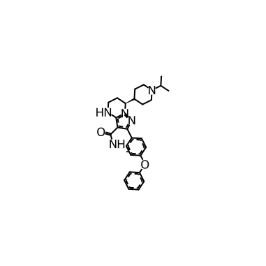 CC(C)N1CCC([C@@H]2CCNc3c(C(N)=O)c(-c4ccc(Oc5ccccc5)cc4)nn32)CC1